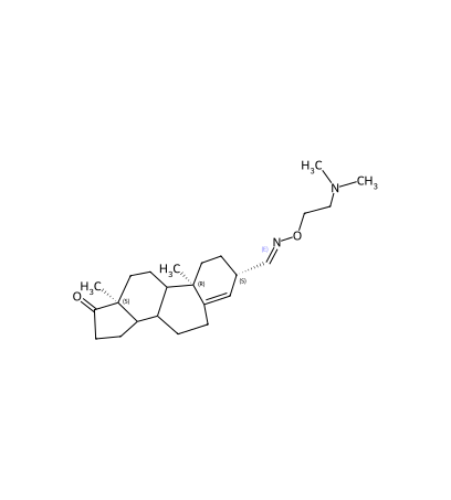 CN(C)CCO/N=C/[C@@H]1C=C2CCC3C(CC[C@]4(C)C(=O)CCC34)[C@@]2(C)CC1